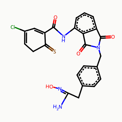 NC(Cc1ccc(CN2C(=O)c3cccc(NC(=O)C4=CC(Cl)=CCC4=S)c3C2=O)cc1)=NO